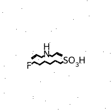 C=CCNCC=C.O=S(=O)(O)CCCCCCF